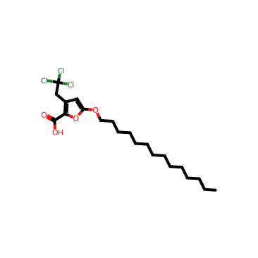 CCCCCCCCCCCCCCOc1cc(CC(Cl)(Cl)Cl)c(C(=O)O)o1